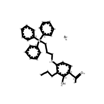 CCCc1c(SCCC[P+](c2ccccc2)(c2ccccc2)c2ccccc2)ccc(C(C)=O)c1O.[Br-]